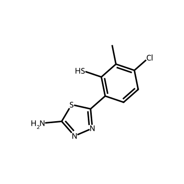 Cc1c(Cl)ccc(-c2nnc(N)s2)c1S